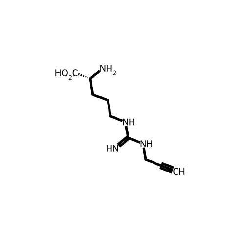 C#CCNC(=N)NCCC[C@@H](N)C(=O)O